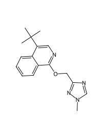 Cn1cnc(COc2ncc(C(C)(C)C)c3ccccc23)n1